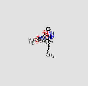 CCCCCCCCCCCC(NC(=O)NC1CCCCCC1OC(=O)CCNC(=O)C1OC(C)(C)OCC1(C)C)C(C)(C)C